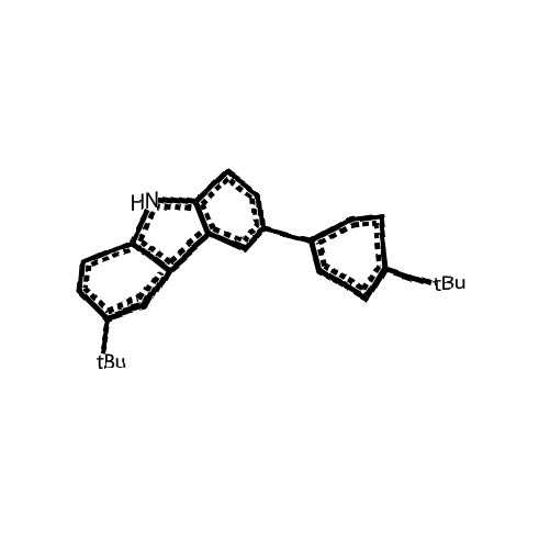 CC(C)(C)c1ccc(-c2ccc3[nH]c4ccc(C(C)(C)C)cc4c3c2)cc1